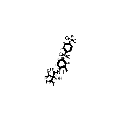 CS(=O)(=O)c1ccc(S(=O)(=O)c2ccc(NC(=O)C(O)(C(F)F)C(F)F)c(F)c2)cc1